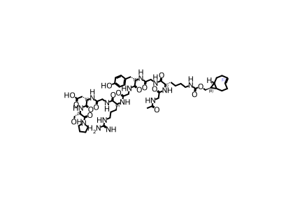 CC(=O)NCC(=O)N[C@@H](CCCCNC(=O)OC[C@@H]1C2CC/C=C/CC[C@H]21)C(=O)NCC(=O)N[C@@H](Cc1ccc(O)cc1)C(=O)NCC(=O)N[C@@H](CCCNC(=N)N)C(=O)NCC(=O)N[C@@H](CC(=O)O)C(=O)N[C@@H](CO)C(=O)N1CCCC1